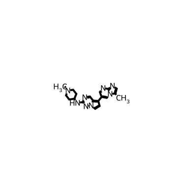 Cc1cnc2ncc(-c3ccn4nc(NC5CCN(C)CC5)ncc34)cn12